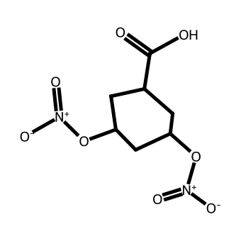 O=C(O)C1CC(O[N+](=O)[O-])CC(O[N+](=O)[O-])C1